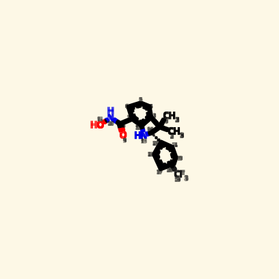 CC1(C)c2cccc(C(=O)NO)c2N[C@H]1c1ccc(C(F)(F)F)cc1